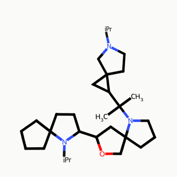 CC(C)N1CCC2(CC2C(C)(C)N2CCCC23COC(C2CCC4(CCCC4)N2C(C)C)C3)C1